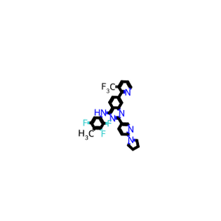 Cc1c(F)cc(Nc2nc(-c3ccc(N4CCCC4)nc3)nc3cc(-c4ncccc4C(F)(F)F)ccc23)c(F)c1F